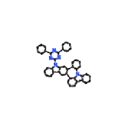 c1ccc(-c2nc(-c3ccccc3)nc(-n3c4ccccc4c4cc5c(cc43)-c3ccccc3-n3c4ccccc4c4cccc-5c43)n2)cc1